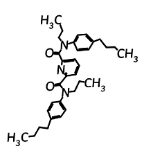 CCCCc1ccc(N(CCC)C(=O)c2cccc(C(=O)N(CCC)c3ccc(CCCC)cc3)n2)cc1